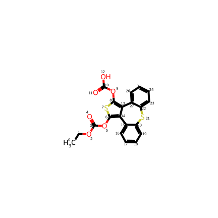 CCOC(=O)Oc1sc(OC(=O)O)c2c1-c1ccccc1Sc1ccccc1-2